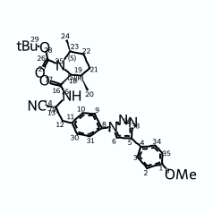 COc1ccc(-c2cn(-c3ccc(C[C@@H](C#N)NC(=O)[C@@H]4[C@H](C)CC[C@H](C)N4C(=O)OC(C)(C)C)cc3)nn2)cc1